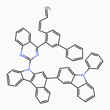 C=C/C=C\c1ccc(-c2ccccc2)cc1-c1nc(-n2c3ccccc3c3c4ccccc4c(-c4ccc5c(c4)c4ccccc4n5-c4ccccc4)cc32)nc2ccccc12